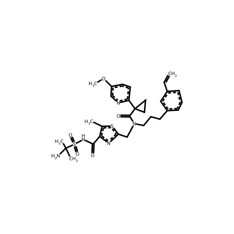 C=Cc1cccc(CCCN(Cc2nc(C(=O)NS(=O)(=O)C(C)(C)N)c(C)s2)C(=O)C2(c3ccc(OC)cn3)CC2)c1